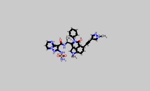 C[C@H](NC(=O)c1c(NS(N)(=O)=O)nn2cccnc12)c1c2c3c(ccc(C#Cc4cnn(C)c4)c3c(=O)n1-c1ccccc1)N(C)C2